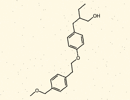 CCC(CO)Cc1ccc(OCCc2ccc(COC)cc2)cc1